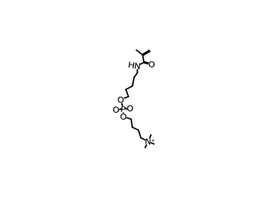 C=C(C)C(=O)NCCCCCOP(=O)([O-])OCCCC[N+](C)(C)C